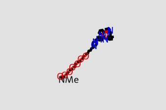 CNC(=O)COCCOCCOCCOCCOCCOCCCCCCN1CCN(Cc2ccc(C(=O)Nc3ccc(C)c(Cc4nccc(-c5cccnc5)n4)c3)cc2)CC1